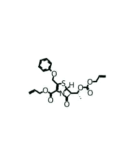 C=CCOC(=O)O[C@H](C)[C@H]1C(=O)N2C(C(=O)OCC=C)=C(COc3ccccc3)S[C@H]12